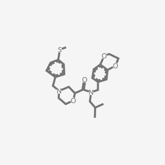 CSc1ccc(CN2CCOC(C(=O)N(Cc3ccc4c(c3)OCCO4)CC(C)C)C2)cc1